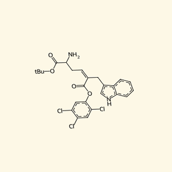 CC(C)(C)OC(=O)C(N)CC=C(Cc1c[nH]c2ccccc12)C(=O)Oc1cc(Cl)c(Cl)cc1Cl